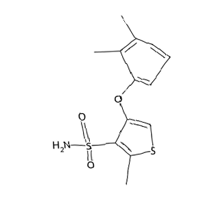 Cc1cccc(Oc2csc(C)c2S(N)(=O)=O)c1C